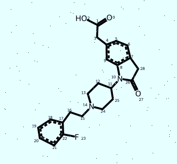 O=C(O)Cc1ccc2c(c1)N(C1CCN(CCc3ccccc3F)CC1)C(=O)C2